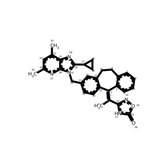 C/C(=C1/c2ccccc2CCc2cc(Cn3c(C4CC4)nc4c(C)cc(C)nc43)ccc21)c1noc(=O)[nH]1